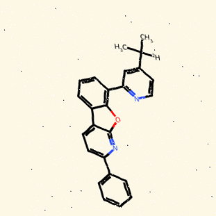 [2H]C(C)(C)c1ccnc(-c2cccc3c2oc2nc(-c4ccccc4)ccc23)c1